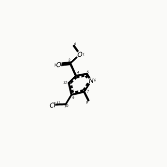 COC(=O)c1cnc(C)c(CCl)c1